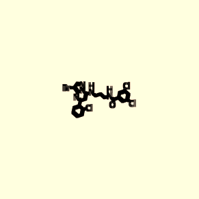 O=C(NCCCNc1cc(-c2ccccc2Cl)nc2c(Br)cnn12)c1cc(Cl)cc(Cl)c1